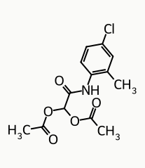 CC(=O)OC(OC(C)=O)C(=O)Nc1ccc(Cl)cc1C